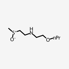 CCCOCCNCC[S+](C)[O-]